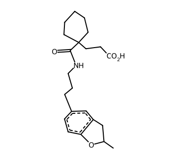 CC1Cc2cc(CCCNC(=O)C3(CCC(=O)O)CCCCC3)ccc2O1